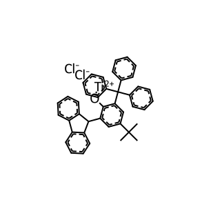 CC(C)(C)c1cc(C2c3ccccc3-c3ccccc32)c([O][Ti+2])c(C(c2ccccc2)(c2ccccc2)c2ccccc2)c1.[Cl-].[Cl-]